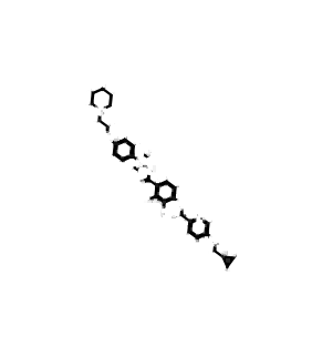 CC[C@@H](Oc1ccc(C(=O)NS(=O)(=O)c2ccc(OCCN3CCCCC3)cc2)c(F)c1F)c1ccc(OCC2CC2)cn1